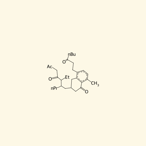 CCCCC(=O)CCc1ccc(C)c2c1CC(CC(CCC)C(CC)C(=O)CC(C)=O)CC2=O